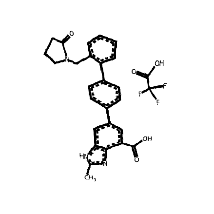 Cc1nc2c(C(=O)O)cc(-c3ccc(-c4ccccc4CN4CCCC4=O)cc3)cc2[nH]1.O=C(O)C(F)(F)F